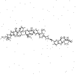 C[C@H]1CN(C2CC(C#Cc3ccc4c(c3)C(=O)N(C3CCC(=O)NC3=O)C4)C2)CCN1c1ccc(Nc2cc(-c3ccnc(N4CCn5c(cc6c5CC(C)(C)C6)C4=O)c3CO)cn(C)c2=O)nc1